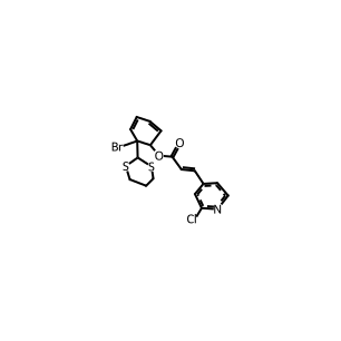 O=C(/C=C/c1ccnc(Cl)c1)OC1C=CC=CC1(Br)C1SCCCS1